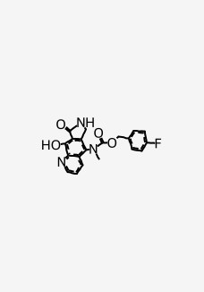 CN(C(=O)OCc1ccc(F)cc1)c1c2c(c(O)c3ncccc13)C(=O)NC2